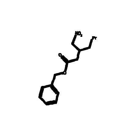 CC(C)CC(CC(=O)OCc1ccccc1)C[N+](=O)[O-]